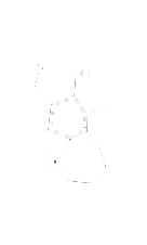 CC1(C)CCCCc2c1cc(CN)c(O)c2I